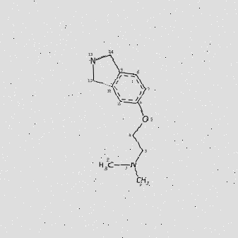 CN(C)CCOc1ccc2c(c1)C[N]C2